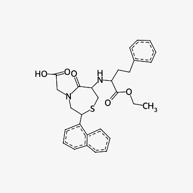 CCOC(=O)C(CCc1ccccc1)NC1CSC(c2cccc3ccccc23)CN(CC(=O)O)C1=O